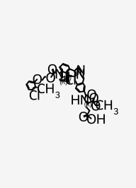 COC(=O)[C@@H](CCC(=O)O)NC(=O)c1ccc(Cl)c(Cn2cc(-c3cccc4c3[C@H]3C[C@H]3CN4C(=O)OCCOc3cccc(Cl)c3C)cn2)c1